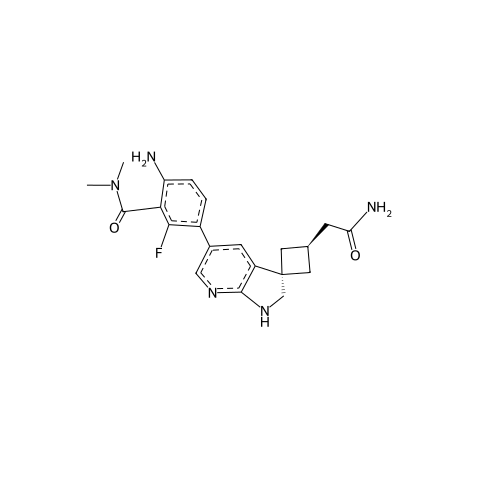 CN(C)C(=O)c1c(N)ccc(-c2cnc3c(c2)[C@]2(CN3)C[C@H](CC(N)=O)C2)c1F